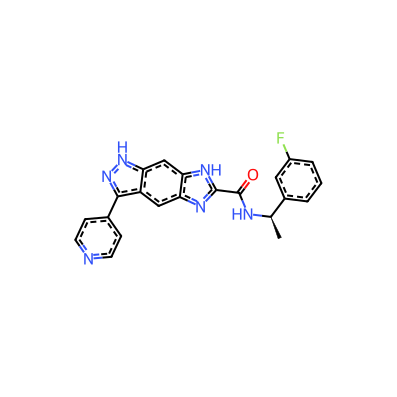 C[C@@H](NC(=O)c1nc2cc3c(-c4ccncc4)n[nH]c3cc2[nH]1)c1cccc(F)c1